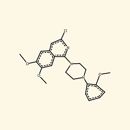 COc1cc2cc(Cl)nc(N3CCN(c4ccccc4OC)CC3)c2cc1OC